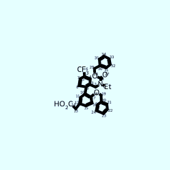 CCN(Cc1cc(C(F)(F)F)ccc1-c1cc(CC(=O)O)ccc1OCc1ccccc1)C(=O)OCc1ccccc1